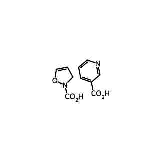 O=C(O)N1CC=CO1.O=C(O)c1cccnc1